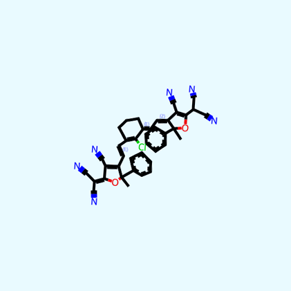 CC1(c2ccccc2)OC(=C(C#N)C#N)C(C#N)=C1/C=C/C1=C(Cl)C(=C/C=C2/C(C#N)=C(C(C#N)C#N)OC2(C)c2ccccc2)/CCC1